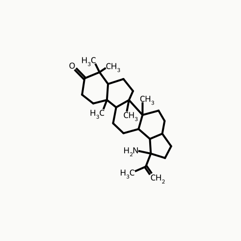 C=C(C)C1(N)CCC2CCC3(C)C(CCC4C5(C)CCC(=O)C(C)(C)C5CCC43C)C21